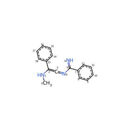 CNC(=C=NC(=N)c1ccccc1)c1ccccc1